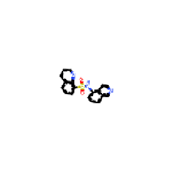 O=S(=O)(Nc1cccc2cnccc12)c1cccc2cccnc12